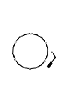 C#CCBr.C1COCCOCCOCCOCCOCCO1